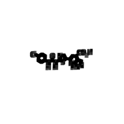 O=C(Nc1ccc(Cl)cc1)Nc1ncc(-c2cc(C(=O)O)c3cn[nH]c3n2)s1